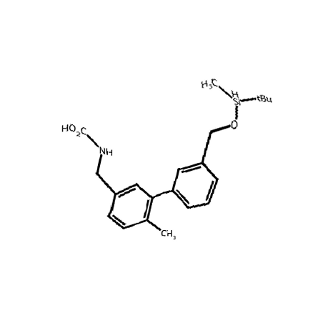 Cc1ccc(CNC(=O)O)cc1-c1cccc(CO[SiH](C)C(C)(C)C)c1